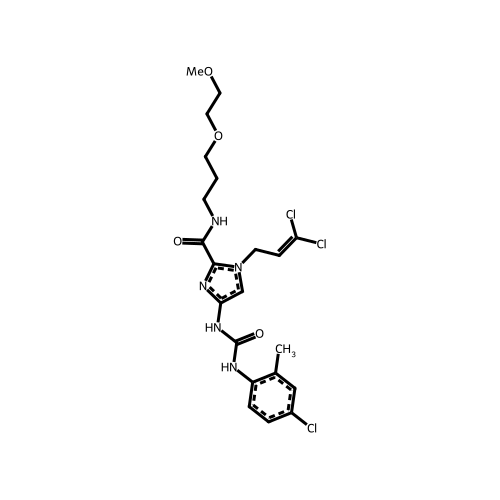 COCCOCCCNC(=O)c1nc(NC(=O)Nc2ccc(Cl)cc2C)cn1CC=C(Cl)Cl